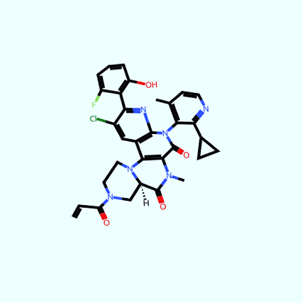 C=CC(=O)N1CCN2c3c(c(=O)n(-c4c(C)ccnc4C4CC4)c4nc(-c5c(O)cccc5F)c(Cl)cc34)N(C)C(=O)[C@H]2C1